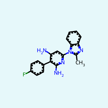 Cc1nc2ccccc2n1-c1cc(N)c(-c2ccc(F)cc2)c(N)n1